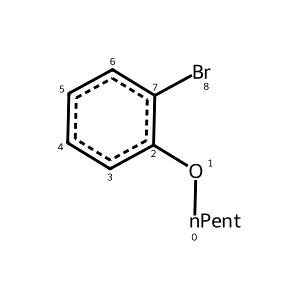 CCCCCOc1ccccc1Br